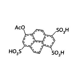 CC(=O)Oc1cc(S(=O)(=O)O)c2ccc3c(S(=O)(=O)O)cc(S(=O)(=O)O)c4ccc1c2c43